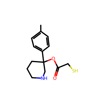 Cc1ccc(C2(OC(=O)CS)CCCNC2)cc1